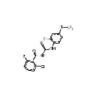 O=C(NC(=O)c1c(F)cccc1Cl)Nc1ccc(SC(F)(F)F)cc1F